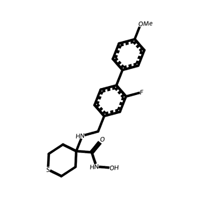 COc1ccc(-c2ccc(CNC3(C(=O)NO)CCSCC3)cc2F)cc1